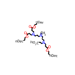 CCCCCCCCCCCCOC(=O)CCN(CCCN(C)CCCN(CCC(=O)OCCCCCCCCCCCC)CCC(=O)OCCCCCCCCCCCC)CCC(=O)O